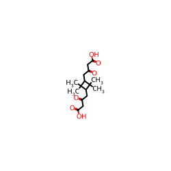 CC1(C)C(CC(=O)CC(=O)O)C(C)(C)C1CC(=O)CC(=O)O